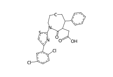 O=C(O)CC1C(=O)N(c2nc(-c3cc(Cl)ccc3Cl)cs2)CCCCC1c1ccccc1